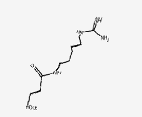 CCCCCCCCCCC(=O)NCCCCNC(=N)N